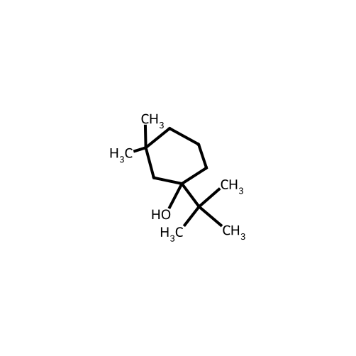 CC1(C)CCCC(O)(C(C)(C)C)C1